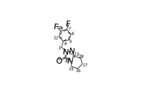 O=c1n(Cc2ccc(F)c(F)c2)nc2n1CCCC2